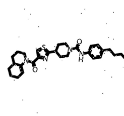 CCCCc1ccc(NC(=O)N2CCC(c3nc(C(=O)N4CCCC5CCCC=C54)cs3)CC2)cc1